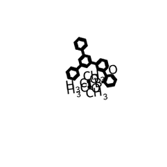 CC1(C)OB(c2cccc3oc4ccc(-c5cc(-c6ccccc6)cc(-c6ccccc6)c5)cc4c23)OC1(C)C